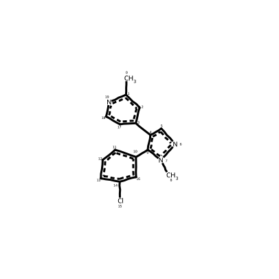 Cc1cc(-c2cnn(C)c2-c2cccc(Cl)c2)ccn1